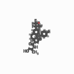 C[C@@H](CO)NC(=O)[C@@H]1CC[C@@]2(S(=O)(=O)c3ccc(F)cc3)c3ccc(C(F)(C(F)(F)F)C(F)(F)F)cc3CC[C@@H]12